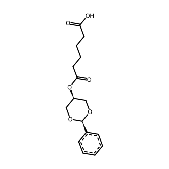 O=C(O)CCCCC(=O)O[C@H]1CO[C@@H](c2ccccc2)OC1